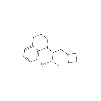 CC(N)C(CC1CCC1)N1CCCc2ccccc21